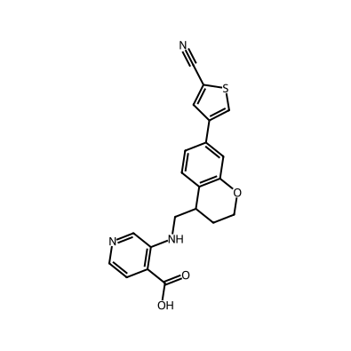 N#Cc1cc(-c2ccc3c(c2)OCCC3CNc2cnccc2C(=O)O)cs1